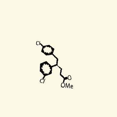 COC(=O)CC[C@H](Cc1ccc(Cl)cc1)c1cccc(Cl)c1